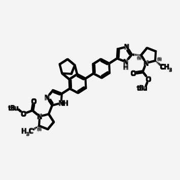 C[C@H]1CCC(c2ncc(-c3ccc(-c4ccc(-c5cnc([C@@H]6CC[C@H](C)N6C(=O)OC(C)(C)C)[nH]5)cc4)c4c3C3CCC4C3)[nH]2)N1C(=O)OC(C)(C)C